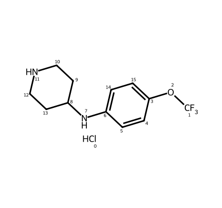 Cl.FC(F)(F)Oc1ccc(NC2CCNCC2)cc1